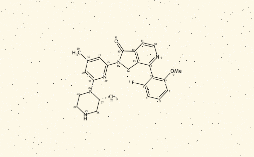 COc1cccc(F)c1-c1nccc2c1CN(c1cc(C)cc(N3CCNC[C@H]3C)n1)C2=O